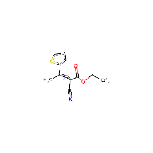 CCOC(=O)/C(C#N)=C(/C)c1cccs1